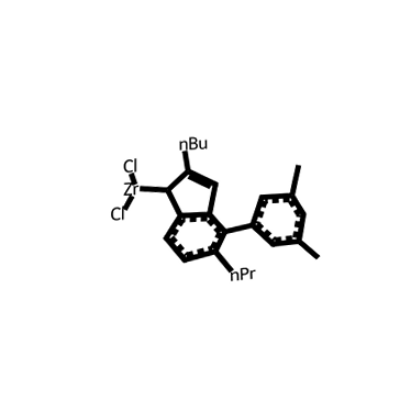 CCCCC1=Cc2c(ccc(CCC)c2-c2cc(C)cc(C)c2)[CH]1[Zr]([Cl])[Cl]